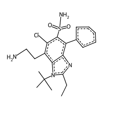 CCc1nc2c(-c3ccccc3)c(S(N)(=O)=O)c(Cl)c(CCN)c2n1C(C)(C)C